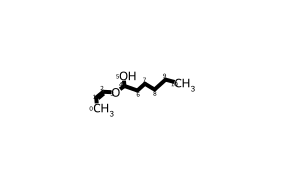 C/C=C\OC(O)CCCCC